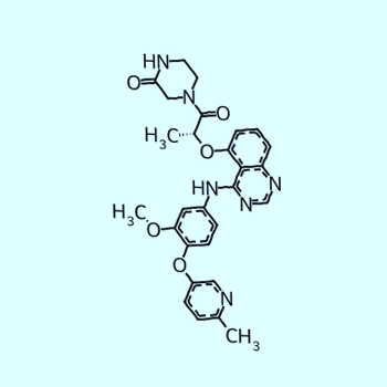 COc1cc(Nc2ncnc3cccc(O[C@H](C)C(=O)N4CCNC(=O)C4)c23)ccc1Oc1ccc(C)nc1